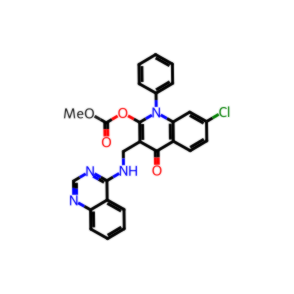 COC(=O)Oc1c(CNc2ncnc3ccccc23)c(=O)c2ccc(Cl)cc2n1-c1ccccc1